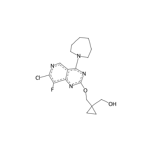 OCC1(COc2nc(N3CCCCCC3)c3cnc(Cl)c(F)c3n2)CC1